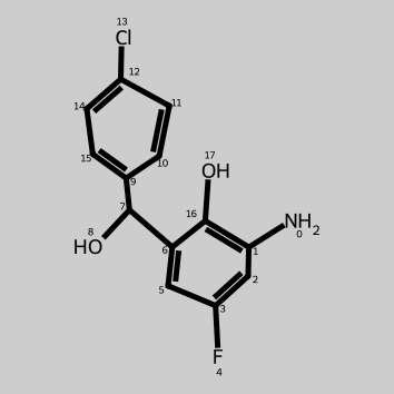 Nc1cc(F)cc(C(O)c2ccc(Cl)cc2)c1O